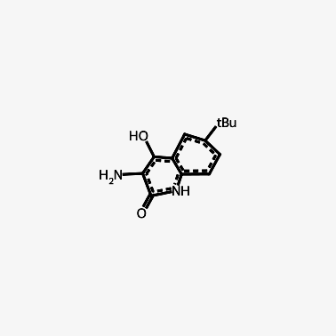 CC(C)(C)c1ccc2[nH]c(=O)c(N)c(O)c2c1